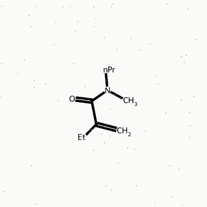 C=C(CC)C(=O)N(C)CCC